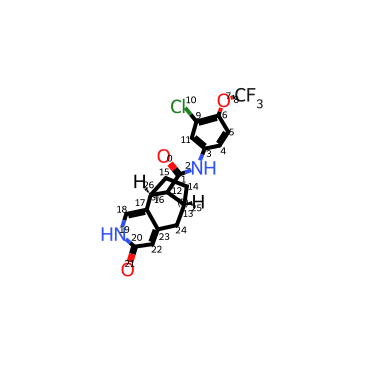 O=C(Nc1ccc(OC(F)(F)F)c(Cl)c1)C1[C@@H]2CC[C@@H]1c1c[nH]c(=O)cc1C2